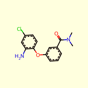 CN(C)C(=O)c1cccc(Oc2ccc(Cl)cc2N)c1